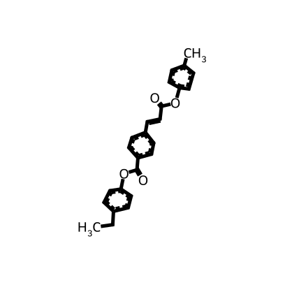 CCc1ccc(OC(=O)c2ccc(C=CC(=O)Oc3ccc(C)cc3)cc2)cc1